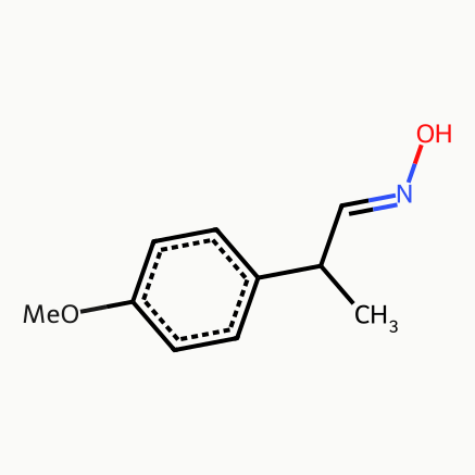 COc1ccc(C(C)C=NO)cc1